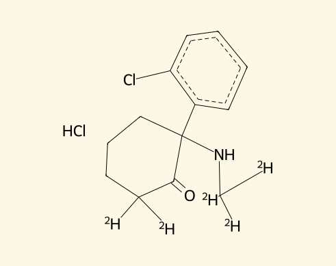 Cl.[2H]C([2H])([2H])NC1(c2ccccc2Cl)CCCC([2H])([2H])C1=O